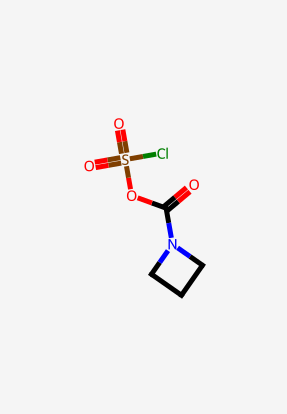 O=C(OS(=O)(=O)Cl)N1CCC1